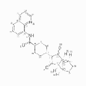 O=C1C([C@H]2CC[C@H](C(=O)Nc3cccc4cccnc34)CC2)C(=O)[C@H]2[C@H]3CC[C@H](C3)[C@@H]12